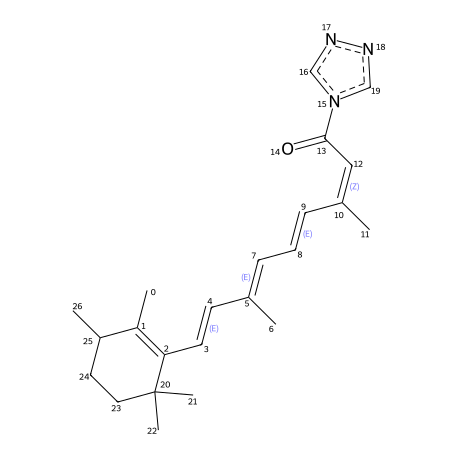 CC1=C(/C=C/C(C)=C/C=C/C(C)=C\C(=O)n2cnnc2)C(C)(C)CCC1C